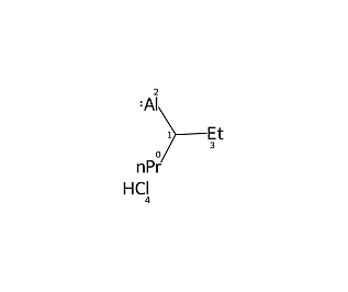 CCC[CH]([Al])CC.Cl